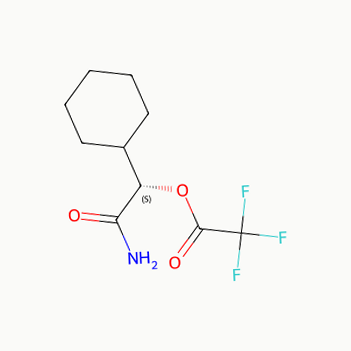 NC(=O)[C@@H](OC(=O)C(F)(F)F)C1CCCCC1